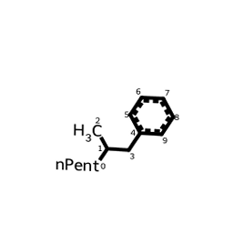 [CH2]CCCCC(C)Cc1ccccc1